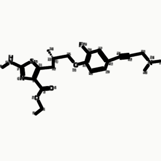 CCOC(=O)c1nc(NC)sc1C[C@H](C)COc1ccc(C#CCN(C)C)cc1F